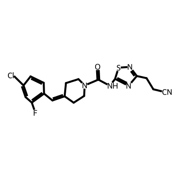 N#CCCc1nsc(NC(=O)N2CCC(=Cc3ccc(Cl)cc3F)CC2)n1